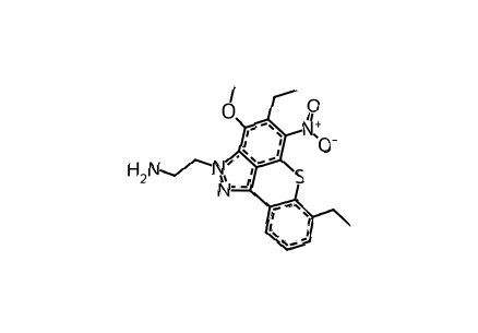 CCc1cccc2c1Sc1c([N+](=O)[O-])c(CC)c(OC)c3c1c-2nn3CCN